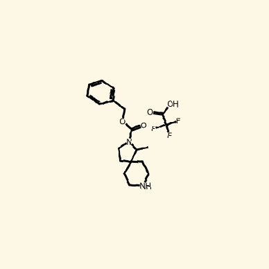 CC1N(C(=O)OCc2ccccc2)CCC12CCNCC2.O=C(O)C(F)(F)F